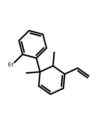 C=CC1=CC=CC(C)(c2ccccc2CC)C1C